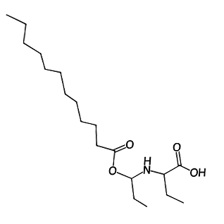 CCCCCCCCCCCC(=O)OC(CC)NC(CC)C(=O)O